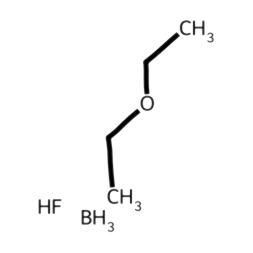 B.CCOCC.F